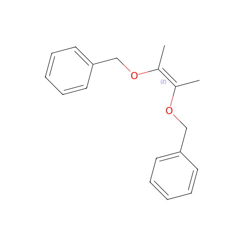 C/C(OCc1ccccc1)=C(\C)OCc1ccccc1